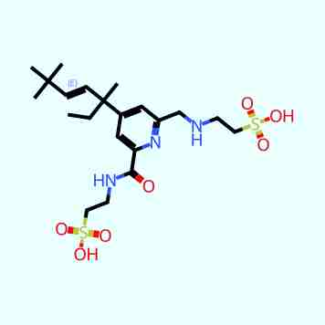 CCC(C)(/C=C/C(C)(C)C)c1cc(CNCCS(=O)(=O)O)nc(C(=O)NCCS(=O)(=O)O)c1